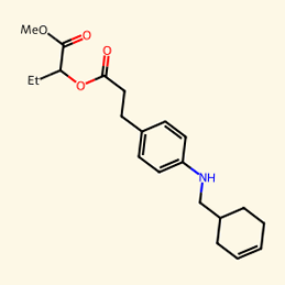 CCC(OC(=O)CCc1ccc(NCC2CC=CCC2)cc1)C(=O)OC